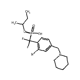 CCC(C)OP(=O)(O)C(F)(F)c1ccc(CN2CCCCC2)cc1Br